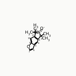 CC1(C)c2cc3ccoc3cc2C(C)(C)[NH+]1[O-]